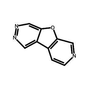 c1cc2c(cn1)oc1cnncc12